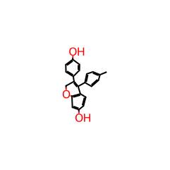 Cc1ccc(C2=C(c3ccc(O)cc3)COc3cc(O)ccc32)cc1